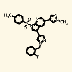 Cc1ccc(S(=O)(=O)n2cc(-c3cnn(Cc4ccccc4F)c3)c3cc(-c4cnn(C)c4)cnc32)cc1